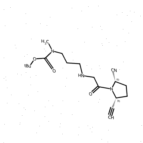 C#C[C@H]1CC[C@@H](C#N)N1C(=O)CNCCCN(C)C(=O)OC(C)(C)C